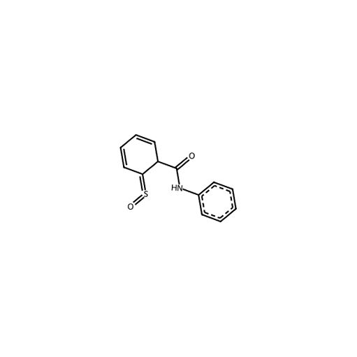 O=S=C1C=CC=CC1C(=O)Nc1ccccc1